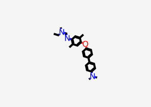 CCN(C)C=Nc1cc(C)c(Oc2ccc(-c3ccc(N(C)C)cc3)cc2)cc1C